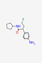 Nc1ccc(C(CCF)C(=O)NC2CCCC2)cc1